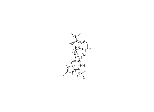 Cc1cc([C@H](Nc2c(Nc3cccc(C(=O)N(C)C)c3O)c(=O)c2=O)C(C)(C)C)on1